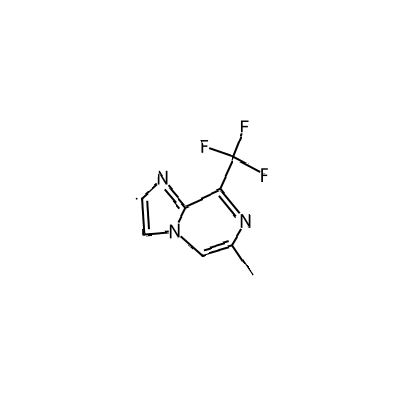 Cc1cn2c[c]nc2c(C(F)(F)F)n1